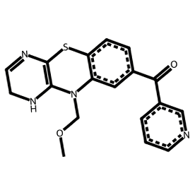 COCN1C2=C(N=CCN2)Sc2ccc(C(=O)c3cccnc3)cc21